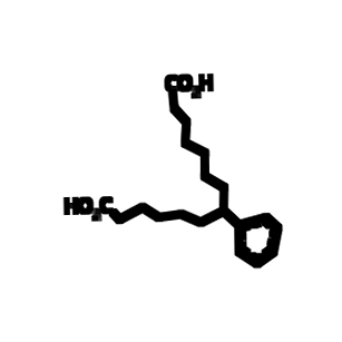 O=C(O)CCCCCCC(CCCCCC(=O)O)c1ccccc1